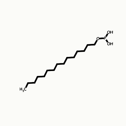 CCCCCCCCCCCCCCCOP(O)O